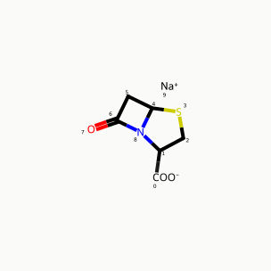 O=C([O-])C1CSC2CC(=O)N21.[Na+]